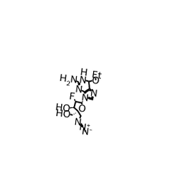 CCOC1NC(N)=Nc2c1ncn2[C@@H]1O[C@@](CO)(CN=[N+]=[N-])[C@@H](O)[C@H]1F